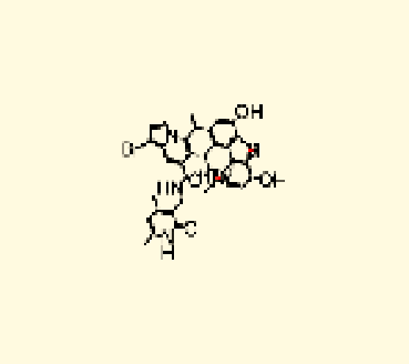 Cc1cc(C)c(CNC(=O)c2cc3c(Br)ccn3c(C(C)c3cc(O)c4c5c3C[C@@H]3[C@@H]6C=C[C@H](O)[C@H](O4)[C@]56CCN3C)c2C)c(=O)[nH]1